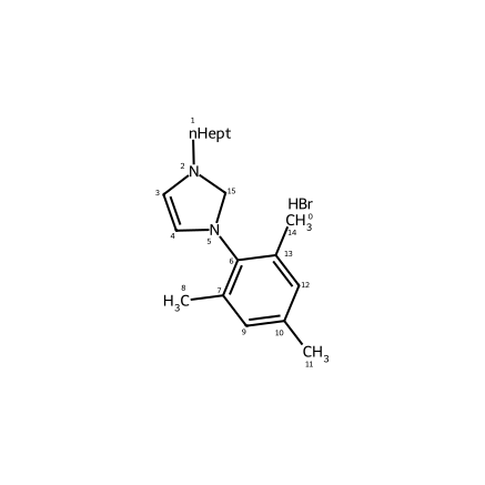 Br.CCCCCCCN1C=CN(c2c(C)cc(C)cc2C)C1